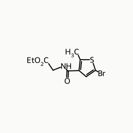 CCOC(=O)CNC(=O)c1cc(Br)sc1C